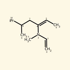 C=CN(C)/C(=C\C)CC(C)C(C)C